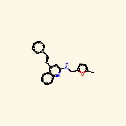 Cc1ccc(CNc2cc(C=Cc3ccccc3)c3ccccc3n2)o1